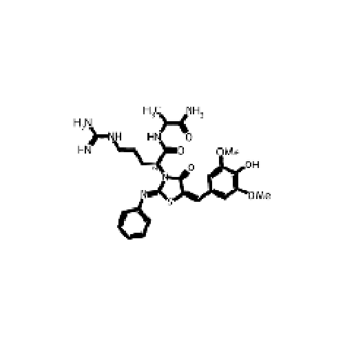 COc1cc(C=C2SC(=Nc3ccccc3)N([C@@H](CCCNC(=N)N)C(=O)NC(C)C(N)=O)C2=O)cc(OC)c1O